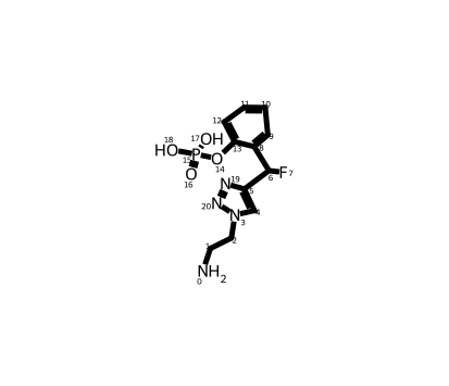 NCCn1cc(C(F)c2ccccc2OP(=O)(O)O)nn1